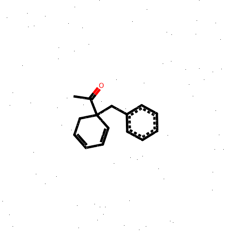 CC(=O)C1(Cc2ccccc2)C=CC=CC1